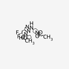 C/C=C/S(=O)(=O)N1CCC(Nc2ncc3cc(C(F)F)c(=O)n([C@@H]4CCC[C@@]4(C)O)c3n2)CC1